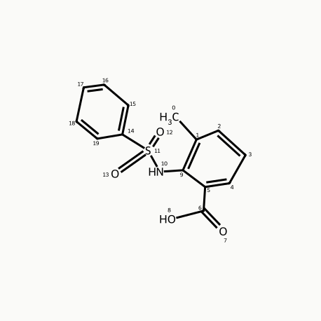 Cc1cccc(C(=O)O)c1NS(=O)(=O)c1ccccc1